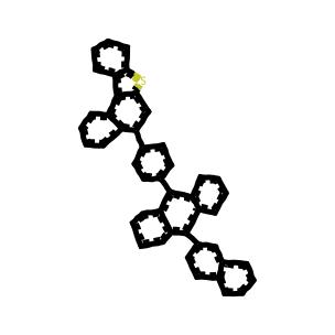 c1ccc2cc(-c3c4ccccc4c(-c4ccc(-c5cc6sc7ccccc7c6c6ccccc56)cc4)c4ccccc34)ccc2c1